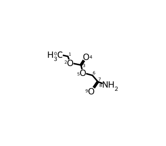 CCOC(=O)OCC(N)=O